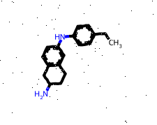 CCc1ccc(Nc2ccc3c(c2)CCC(N)C3)cc1